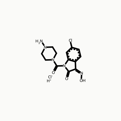 NN1CCN(C(=O)N2C(=O)C(=NO)c3ccc(Cl)cc32)CC1.[Cl-].[H+]